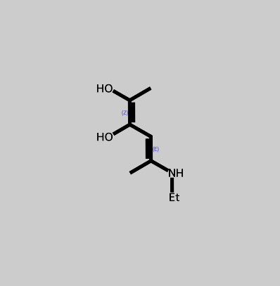 CCN/C(C)=C/C(O)=C(\C)O